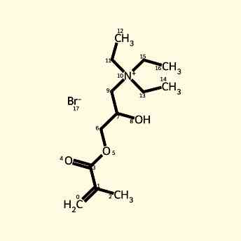 C=C(C)C(=O)OCC(O)C[N+](CC)(CC)CC.[Br-]